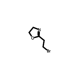 BrCCC1=NCCO1